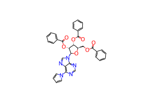 O=C(OC[C@H]1O[C@@H](n2cnc3c(-n4cccc4)ncnc32)[C@H](OC(=O)c2ccccc2)[C@@H]1OC(=O)c1ccccc1)c1ccccc1